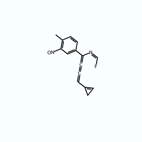 Cc1ccc(C(=C=C=CC2=CC2)/N=C\F)cc1N=O